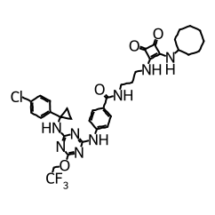 O=C(NCCCNc1c(NC2CCCCCCC2)c(=O)c1=O)c1ccc(Nc2nc(NC3(c4ccc(Cl)cc4)CC3)nc(OCC(F)(F)F)n2)cc1